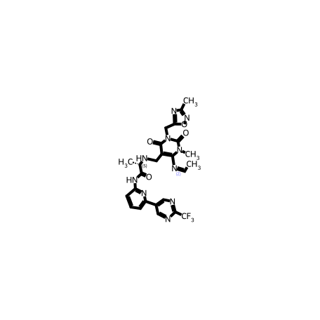 C/C=N\c1c(CN[C@@H](C)C(=O)Nc2cccc(-c3cnc(C(F)(F)F)nc3)n2)c(=O)n(Cc2nc(C)no2)c(=O)n1C